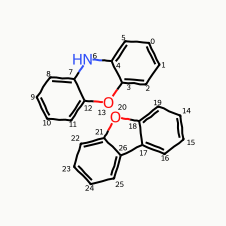 c1ccc2c(c1)Nc1ccccc1O2.c1ccc2c(c1)oc1ccccc12